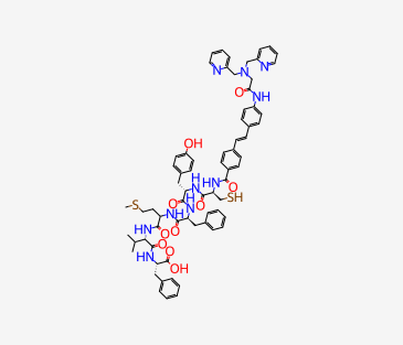 CSCCC(NC(=O)[C@H](Cc1ccccc1)NC(=O)[C@H](Cc1ccc(O)cc1)NC(=O)[C@H](CS)NC(=O)c1ccc(/C=C/c2ccc(NC(=O)CN(Cc3ccccn3)Cc3ccccn3)cc2)cc1)C(=O)N[C@H](C(=O)N[C@@H](Cc1ccccc1)C(=O)O)C(C)C